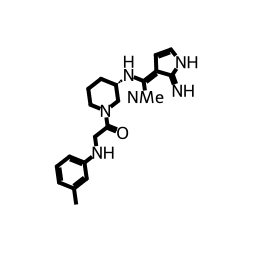 CN/C(N[C@H]1CCCN(C(=O)CNc2cccc(C)c2)C1)=C1/C=CNC1=N